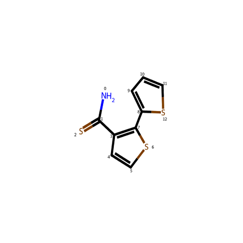 NC(=S)c1ccsc1-c1cccs1